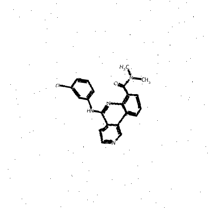 CN(C)C(=O)c1cccc2c1nc(Nc1cccc(Cl)c1)c1ccncc12